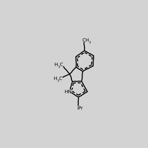 Cc1ccc2c(c1)C(C)(C)c1[nH]c(C(C)C)cc1-2